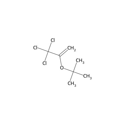 C=C(OC(C)(C)C)C(Cl)(Cl)Cl